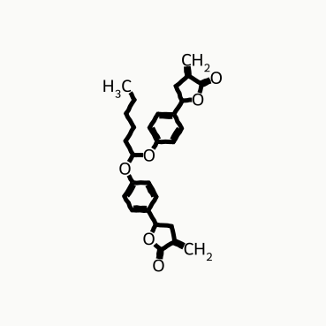 C=C1CC(c2ccc(OC(CCCCC)Oc3ccc(C4CC(=C)C(=O)O4)cc3)cc2)OC1=O